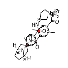 Cc1cc(C(=O)N[C@H]2C[C@H]3CC[C@@H](C2)N3c2ccc(C(=O)N[C@H]3CCN(C(C)C)C3)cn2)c(C)cc1C(N)=O